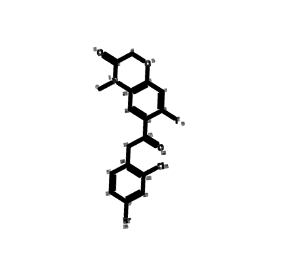 CN1C(=O)COc2cc(F)c(C(=O)Cc3ccc(Br)cc3Cl)cc21